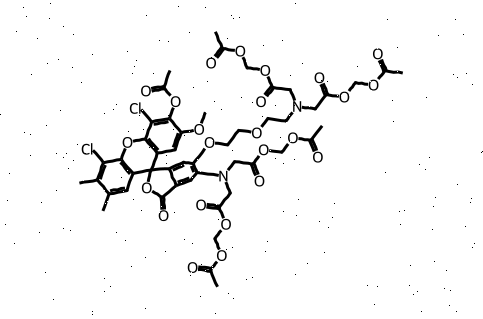 COc1cc2c(c(Cl)c1OC(C)=O)Oc1c(cc(C)c(C)c1Cl)C21OC(=O)c2cc(N(CC(=O)OCOC(C)=O)CC(=O)OCOC(C)=O)c(OCCOCCN(CC(=O)OCOC(C)=O)CC(=O)OCOC(C)=O)cc21